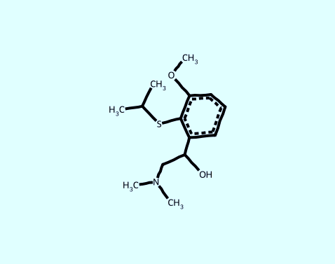 COc1cccc(C(O)CN(C)C)c1SC(C)C